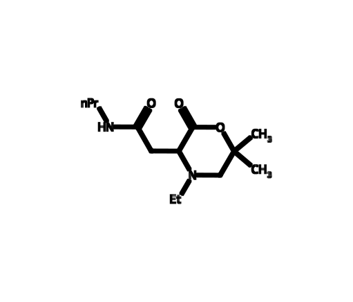 CCCNC(=O)CC1C(=O)OC(C)(C)CN1CC